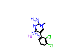 CN1C=C(c2cccc(Cl)c2Cl)C(N)=NC1N.I